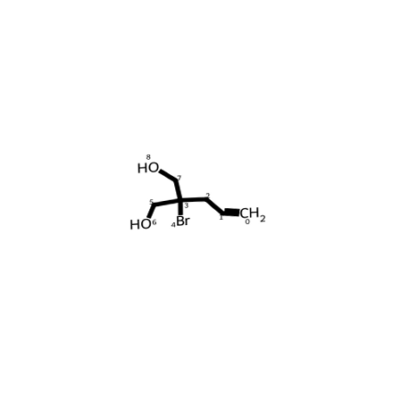 C=CCC(Br)(CO)CO